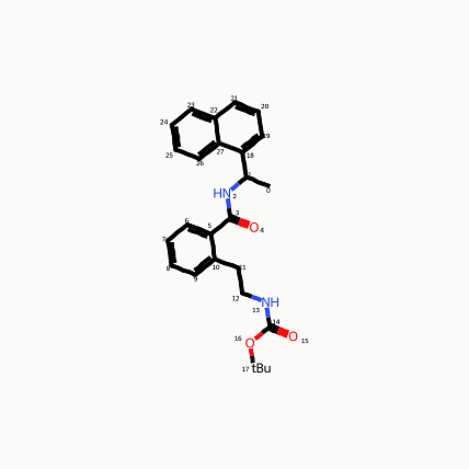 CC(NC(=O)c1ccccc1CCNC(=O)OC(C)(C)C)c1cccc2ccccc12